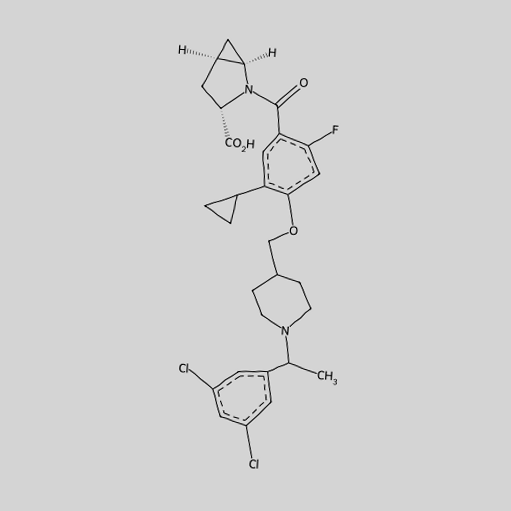 CC(c1cc(Cl)cc(Cl)c1)N1CCC(COc2cc(F)c(C(=O)N3[C@@H]4C[C@@H]4C[C@H]3C(=O)O)cc2C2CC2)CC1